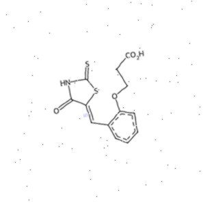 O=C(O)CCOc1ccccc1/C=C1\SC(=S)NC1=O